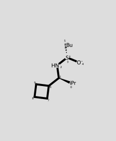 CC(C)[C@H](N[S@@+]([O-])C(C)(C)C)C1CCC1